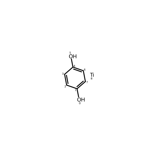 Oc1ccc(O)cc1.[Ti]